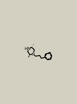 C[C@@H]1CN(CCCc2ccccc2)[C@@H](C)CN1